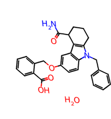 NC(=O)C1CCCc2c1c1cc(OCc3ccccc3C(=O)O)ccc1n2Cc1ccccc1.O